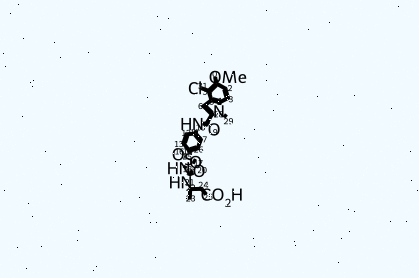 COc1ccc2c(cc(C(=O)Nc3ccc(S(=O)(=O)NC(=O)NC(C)CC(=O)O)cc3)n2C)c1Cl